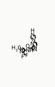 Cn1cc(NC(=O)c2cnn3ccc(N4CCNCC4)nc23)c(C(F)F)n1